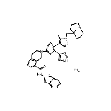 C.Cc1c(-c2ccc(N3CCc4cccc(C(=O)Nc5nc6ccccc6s5)c4C3)nc2-c2nn[nH]n2)cnn1CC12CCCC(CCC1)C2